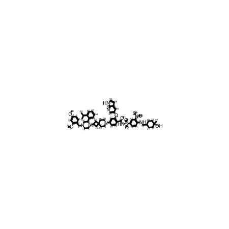 COc1ccc(CN2CCN(C3CC4(CCN(c5ccc(C(=O)NS(=O)(=O)c6ccc(NCC7CCC(C)(O)CC7)c([N+](=O)[O-])c6)c(Oc6cnc7[nH]ccc7c6)c5)CC4)C3)C(c3ccccc3C(C)C)C2)c(OC)c1